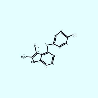 Cc1[nH]c2ncnc(Oc3ccc([N+](=O)[O-])cc3)c2c1C